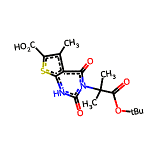 Cc1c(C(=O)O)sc2[nH]c(=O)n(C(C)(C)C(=O)OC(C)(C)C)c(=O)c12